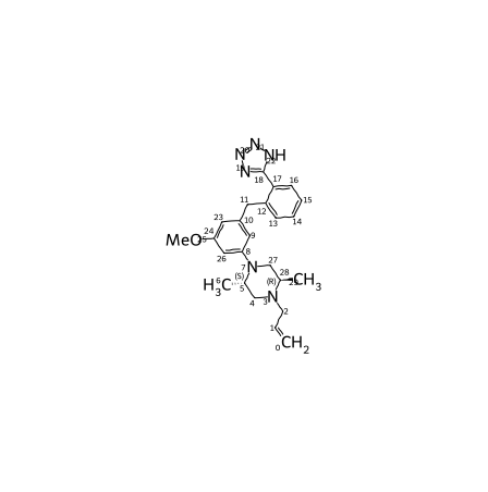 C=CCN1C[C@H](C)N(c2cc(Cc3ccccc3-c3nnn[nH]3)cc(OC)c2)C[C@H]1C